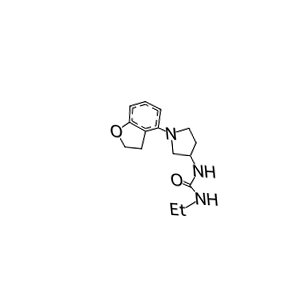 CCNC(=O)NC1CCN(c2cccc3c2CCO3)C1